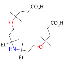 CCC(C)(CCOC(C)(C)CCC(=O)O)NC(C)(CC)CCOC(C)(C)CCC(=O)O